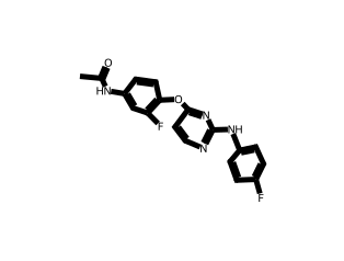 CC(=O)Nc1ccc(Oc2ccnc(Nc3ccc(F)cc3)n2)c(F)c1